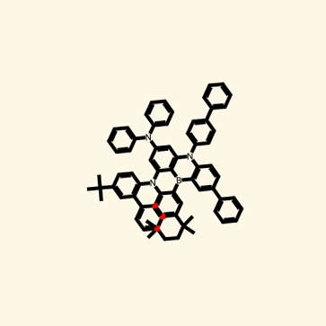 CC(C)(C)c1ccc(N2c3cc4c(cc3B3c5cc(-c6ccccc6)ccc5N(c5ccc(-c6ccccc6)cc5)c5cc(N(c6ccccc6)c6ccccc6)cc2c53)C(C)(C)CCC4(C)C)c(-c2ccccc2)c1